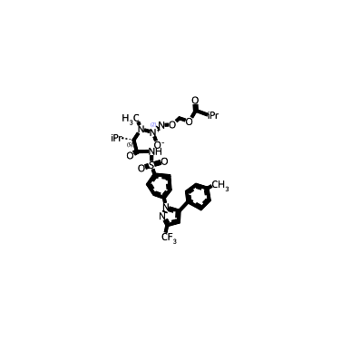 Cc1ccc(-c2cc(C(F)(F)F)nn2-c2ccc(S(=O)(=O)NC(=O)[C@H](C(C)C)N(C)/[N+]([O-])=N/OCOC(=O)C(C)C)cc2)cc1